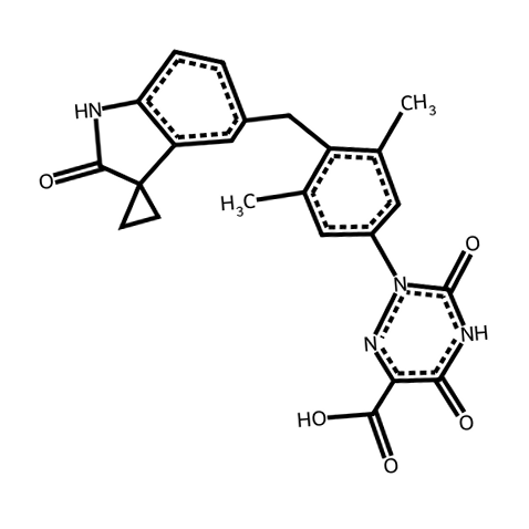 Cc1cc(-n2nc(C(=O)O)c(=O)[nH]c2=O)cc(C)c1Cc1ccc2c(c1)C1(CC1)C(=O)N2